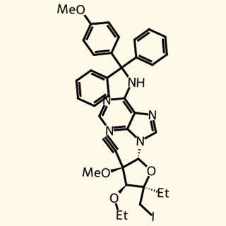 C#C[C@@]1(OC)[C@H](OCC)[C@](CC)(CI)O[C@H]1n1cnc2c(NC(c3ccccc3)(c3ccccc3)c3ccc(OC)cc3)ncnc21